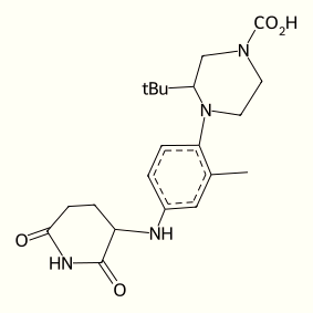 Cc1cc(NC2CCC(=O)NC2=O)ccc1N1CCN(C(=O)O)CC1C(C)(C)C